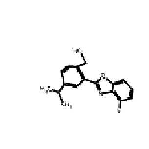 CC(C)c1ccc(CO)c(-c2nc3c(F)cccc3o2)c1